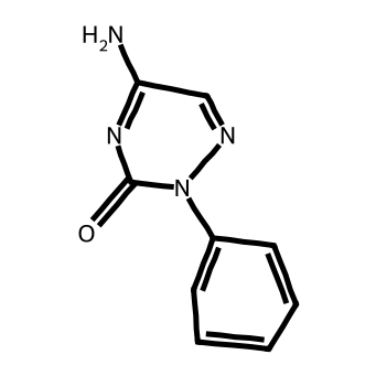 Nc1cnn(-c2ccccc2)c(=O)n1